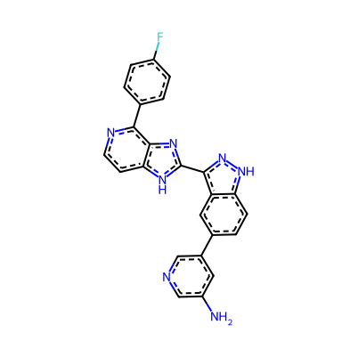 Nc1cncc(-c2ccc3[nH]nc(-c4nc5c(-c6ccc(F)cc6)nccc5[nH]4)c3c2)c1